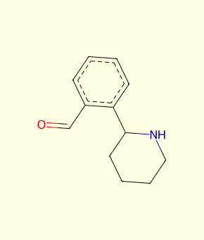 O=Cc1ccccc1C1CCCCN1